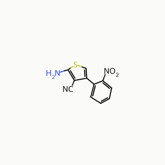 N#Cc1c(-c2ccccc2[N+](=O)[O-])csc1N